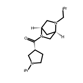 CC(C)CN1C[C@H]2C[C@@H]1CN2C(=O)[C@@H]1CCN(C(C)C)C1